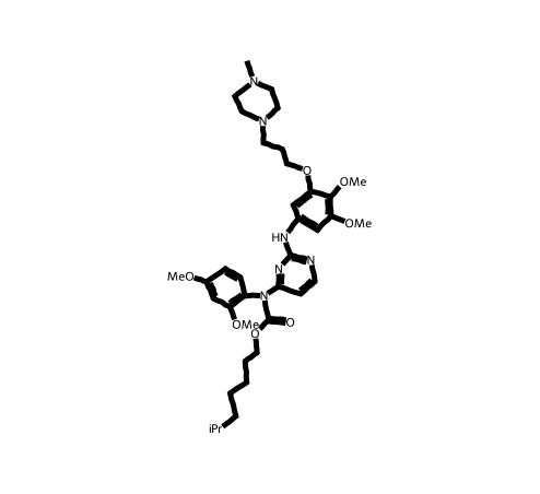 COc1ccc(N(C(=O)OCCCCCC(C)C)c2ccnc(Nc3cc(OC)c(OC)c(OCCCN4CCN(C)CC4)c3)n2)c(OC)c1